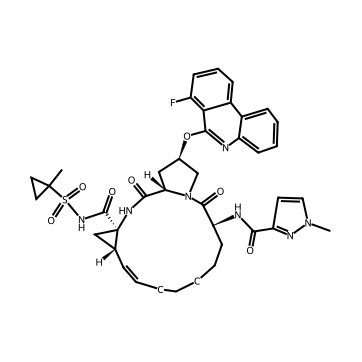 Cn1ccc(C(=O)N[C@H]2CCCCC/C=C\[C@@H]3C[C@@]3(C(=O)NS(=O)(=O)C3(C)CC3)NC(=O)[C@@H]3C[C@@H](Oc4nc5ccccc5c5cccc(F)c45)CN3C2=O)n1